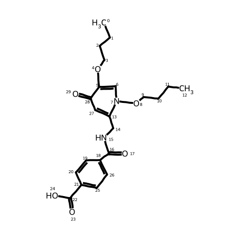 CCCCOc1cn(OCCCC)c(CNC(=O)c2ccc(C(=O)O)cc2)cc1=O